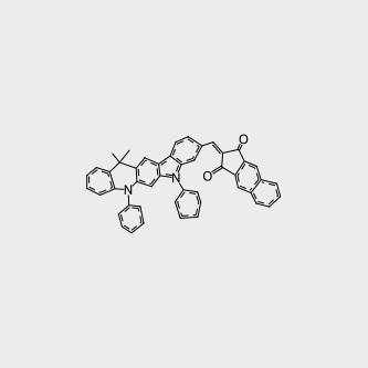 CC1(C)c2ccccc2N(c2ccccc2)c2cc3c(cc21)c1ccc(C=C2C(=O)c4cc5ccccc5cc4C2=O)cc1n3-c1ccccc1